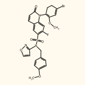 COC1=C(n2c(=O)ccc3cc(S(=O)(=O)N(Cc4ccc(OC)cc4)c4ccon4)c(F)cc32)CCC(Br)=C1